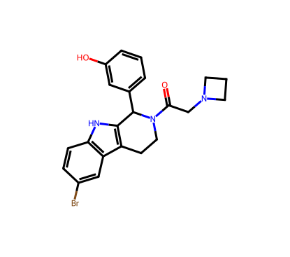 O=C(CN1CCC1)N1CCc2c([nH]c3ccc(Br)cc23)C1c1cccc(O)c1